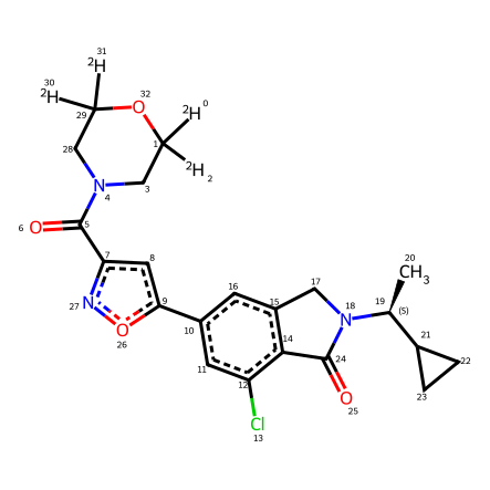 [2H]C1([2H])CN(C(=O)c2cc(-c3cc(Cl)c4c(c3)CN([C@@H](C)C3CC3)C4=O)on2)CC([2H])([2H])O1